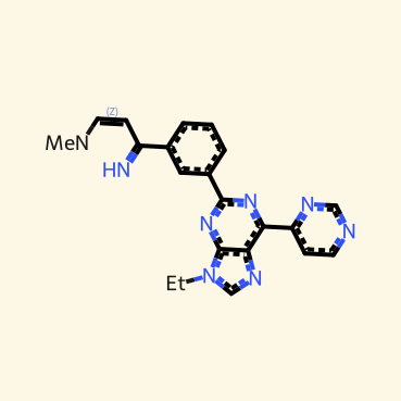 CCn1cnc2c(-c3ccncn3)nc(-c3cccc(C(=N)/C=C\NC)c3)nc21